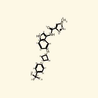 Cn1cc(C(=O)Nc2c[nH]c3ccc(O[C@H]4C[C@@H](c5ccc(C(F)(F)F)cc5)C4)cc23)nn1